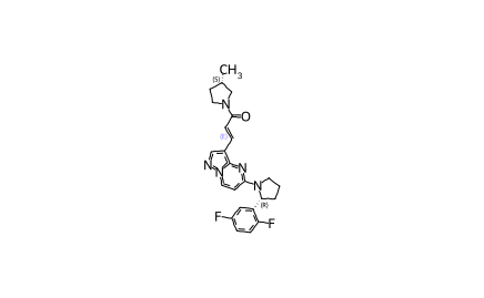 C[C@H]1CCN(C(=O)/C=C/c2cnn3ccc(N4CCC[C@@H]4c4cc(F)ccc4F)nc23)C1